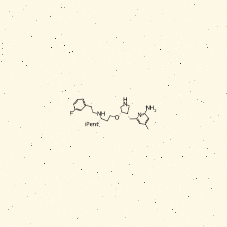 CCCC(C)[C@@H](CCO[C@@H]1CNC[C@@H]1Cc1cc(C)cc(N)n1)NCCc1cccc(F)c1